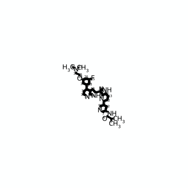 CC(C)C(=O)Nc1cncc(-c2ccc3[nH]nc(-c4cc5c(-c6cc(F)cc(OCCN(C)C)c6)ccnc5[nH]4)c3n2)c1